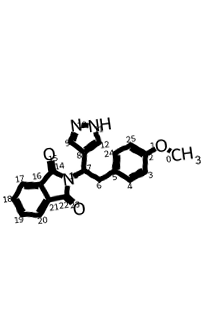 COc1ccc(CC(c2cn[nH]c2)N2C(=O)c3ccccc3C2=O)cc1